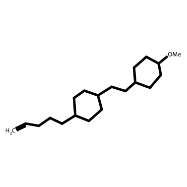 C=CCCCC1CCC(CCC2CCC(OC)CC2)CC1